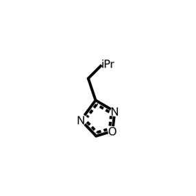 CC(C)Cc1ncon1